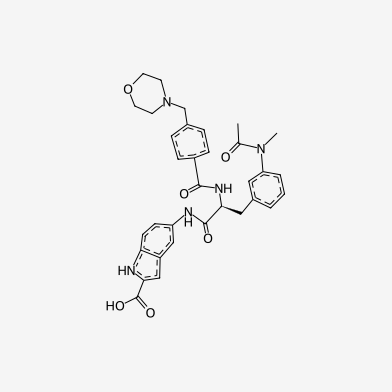 CC(=O)N(C)c1cccc(C[C@H](NC(=O)c2ccc(CN3CCOCC3)cc2)C(=O)Nc2ccc3[nH]c(C(=O)O)cc3c2)c1